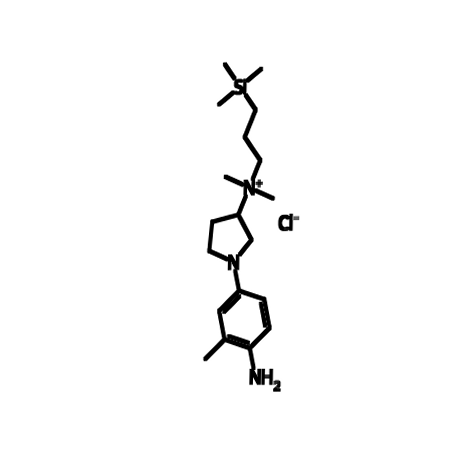 Cc1cc(N2CCC([N+](C)(C)CCC[Si](C)(C)C)C2)ccc1N.[Cl-]